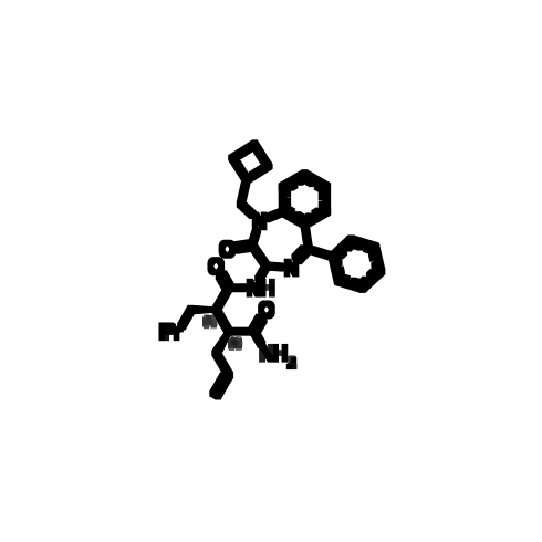 C=CC[C@H](C(N)=O)[C@@H](CC(C)C)C(=O)NC1N=C(c2ccccc2)c2ccccc2N(CC2CCC2)C1=O